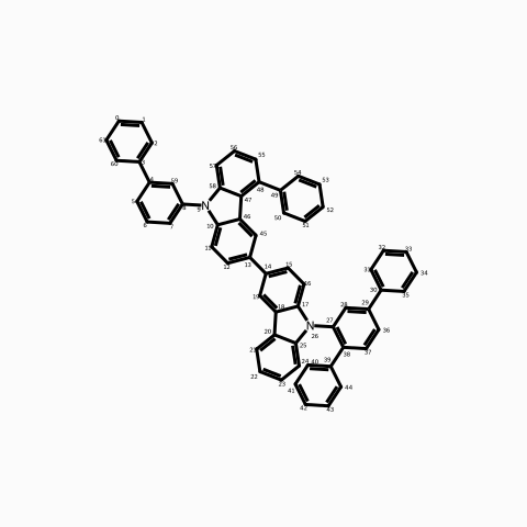 c1ccc(-c2cccc(-n3c4ccc(-c5ccc6c(c5)c5ccccc5n6-c5cc(-c6ccccc6)ccc5-c5ccccc5)cc4c4c(-c5ccccc5)cccc43)c2)cc1